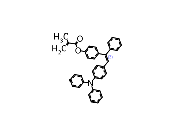 C=C(C)C(=O)Oc1ccc(/C(=C\c2ccc(N(c3ccccc3)c3ccccc3)cc2)c2ccccc2)cc1